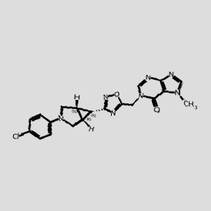 Cn1cnc2ncn(Cc3nc([C@@H]4[C@@H]5CN(c6ccc(Cl)cc6)C[C@@H]54)no3)c(=O)c21